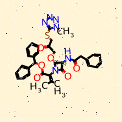 CC(C)=C(C(=O)OC(c1ccccc1)c1ccccc1)N1C(=O)[C@H](NC(=O)Cc2ccccc2)[C@H]1OCC(=O)CSc1nnnn1C